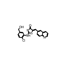 O=C1N=C(Nc2cc(CO)ccc2Cl)S/C1=C\c1ccc2ncccc2c1